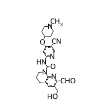 CN1CCC(Oc2cc(NC(=O)N3CCCc4cc(CO)c(C=O)nc43)ncc2C#N)CC1